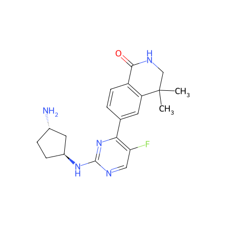 CC1(C)CNC(=O)c2ccc(-c3nc(N[C@H]4CC[C@H](N)C4)ncc3F)cc21